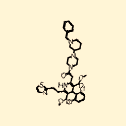 COC(=O)C1=C(CCc2nccs2)NC(CC(=O)N2CCN(C3CCCN(Cc4ccccc4)C3)CC2)=C(C(=O)OC)C1c1c(Cl)cccc1Cl